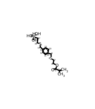 C=C(C)C(=O)OCCSCc1ccc(CSCC[PH](O)(O)O)cc1